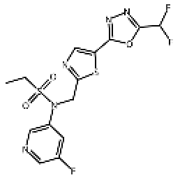 CCS(=O)(=O)N(Cc1ncc(-c2nnc(C(F)F)o2)s1)c1cncc(F)c1